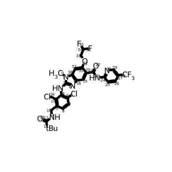 Cn1c(Nc2c(Cl)ccc(CNC(=O)C(C)(C)C)c2Cl)nc2cc(C(=O)Nc3ccc(C(F)(F)F)cn3)c(OCC(F)F)cc21